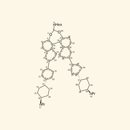 CCCCCCC1Oc2ccc3cc(-c4ccc([C@H]5CC[C@H](CCC)CC5)cc4)ccc3c2-c2c(ccc3cc(-c4ccc([C@H]5CC[C@H](CCC)CC5)cc4)ccc23)O1